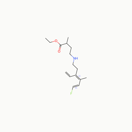 C=C/C(CCNCCC(C)C(=O)OCC)=C(C)\C=C\F